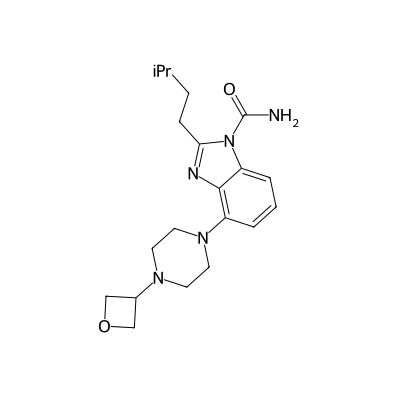 CC(C)CCc1nc2c(N3CCN(C4COC4)CC3)cccc2n1C(N)=O